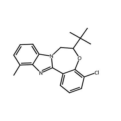 Cc1cccc2c1nc1n2CC(C(C)(C)C)Oc2c(Cl)cccc2-1